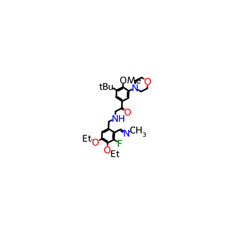 CCOc1cc(CNCC(=O)c2cc(N3CCOCC3)c(OC)c(C(C)(C)C)c2)c(/C=N/C)c(F)c1OCC